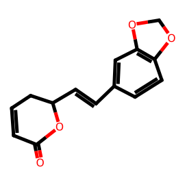 O=C1C=CCC(C=Cc2ccc3c(c2)OCO3)O1